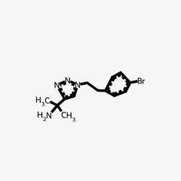 CC(C)(N)c1cn(CCc2ccc(Br)cc2)nn1